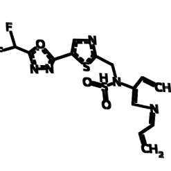 C=C/C=N\C=C(/C=C)N(Cc1ncc(-c2nnc(C(F)F)o2)s1)[SH](=O)=O